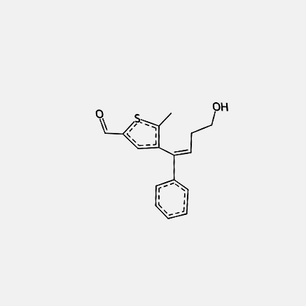 Cc1sc(C=O)cc1C(=CCCO)c1ccccc1